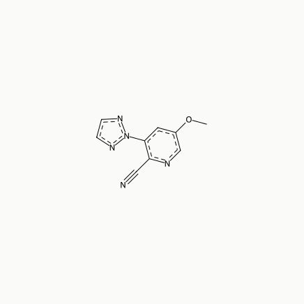 COc1cnc(C#N)c(-n2nccn2)c1